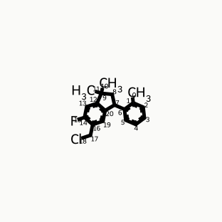 Cc1ccccc1C1CC(C)(C)c2cc(F)c(CCl)cc21